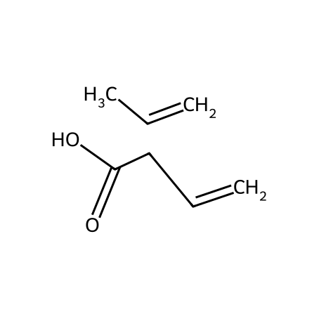 C=CC.C=CCC(=O)O